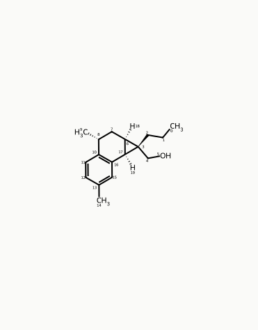 CCC[C@]1(CO)[C@@H]2C[C@@H](C)c3ccc(C)cc3[C@@H]21